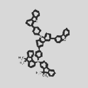 CC1(C)c2ccccc2-c2ccc(N(c3ccc(-c4ccc5c(c4)c4cc(-c6ccc7oc8ccccc8c7c6)ccc4n5-c4ccc(-c5cccc6c5oc5ccccc56)cc4)cc3)c3cccc4c3-c3ccccc3C4(C)C)cc21